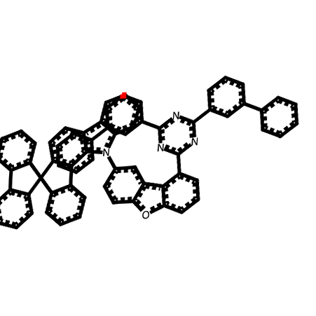 c1ccc(-c2cccc(-c3nc(-c4cccc(-c5ccccc5)c4)nc(-c4cccc5oc6ccc(-n7c8ccccc8c8ccc9c(c87)-c7ccccc7C97c8ccccc8-c8ccccc87)cc6c45)n3)c2)cc1